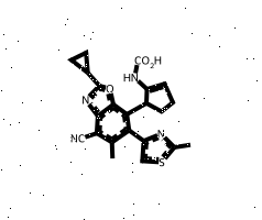 Cc1nc(-c2c(C)c(C#N)c3nc(C4CC4)oc3c2C2CCC=C2NC(=O)O)cs1